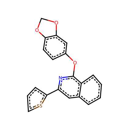 c1csc(-c2cc3ccccc3c(Oc3ccc4c(c3)OCO4)n2)c1